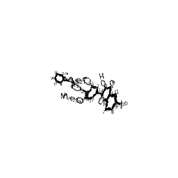 COc1cc(-c2oc3ccc(I)cc3c(=O)c2O)cc(OC)c1OCc1ccccc1